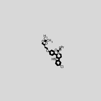 CCCOC(=O)N1CCc2c([nH]c3ccc(Cl)cc23)C1c1ccc(OCC[C@H]2COC(C)(C)O2)cc1